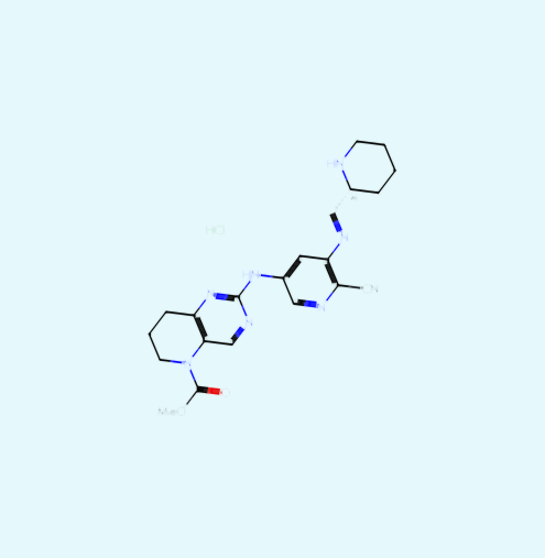 COC(=O)N1CCCc2nc(Nc3cnc(C#N)c(N=C[C@H]4CCCCN4)c3)ncc21.Cl